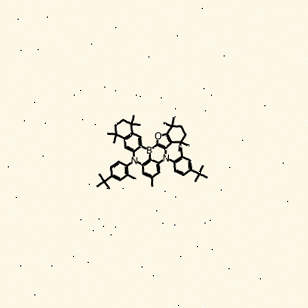 Cc1cc2c3c(c1)N(c1ccc(C(C)(C)C)cc1C)c1c(oc4c1C(C)(C)CCC4(C)C)B3c1cc3c(cc1N2c1ccc(C(C)(C)C)cc1C)C(C)(C)CCC3(C)C